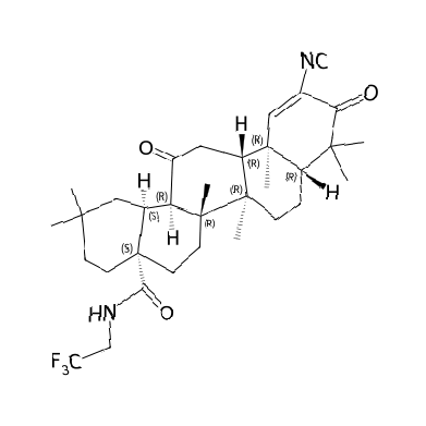 [C-]#[N+]C1=C[C@]2(C)[C@H]3CC(=O)[C@@H]4[C@@H]5CC(C)(C)CC[C@]5(C(=O)NCC(F)(F)F)CC[C@@]4(C)[C@]3(C)CC[C@H]2C(C)(C)C1=O